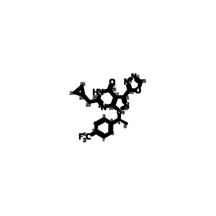 C[C@@H](c1ccc(C(F)(F)F)cc1)n1nc(-c2nnco2)c2c(=O)[nH]c(CC3CC3)nc21